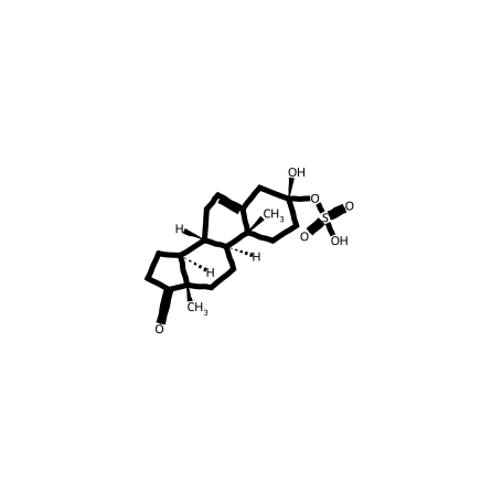 C[C@]12CC[C@@](O)(OS(=O)(=O)O)CC1=CC[C@@H]1[C@@H]2CC[C@]2(C)C(=O)CC[C@@H]12